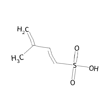 C=C(C)C=CS(=O)(=O)O